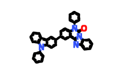 O=c1n(-c2ccccc2)c2ccc(-c3ccc4c(c3)c3ccccc3n4-c3ccccc3)cc2c2nc3ccccc3n12